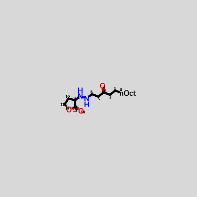 CCCCCCCCCCC(=O)CCNNC1CCOC1=O